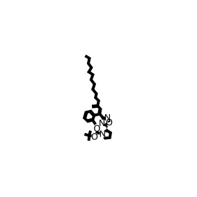 C=C(/C=C(/c1noc([C@@H]2CCCN2C(=O)OC(C)(C)C)n1)c1ccccc1C)CCCCCCCCCCCC